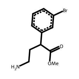 COC(=O)C(CCN)c1cccc(Br)c1